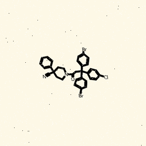 N#CC1(c2ccccc2)CCN(C(=O)CC(c2ccc(Cl)cc2)(c2ccc(Br)cc2)c2ccc(Br)cc2)CC1